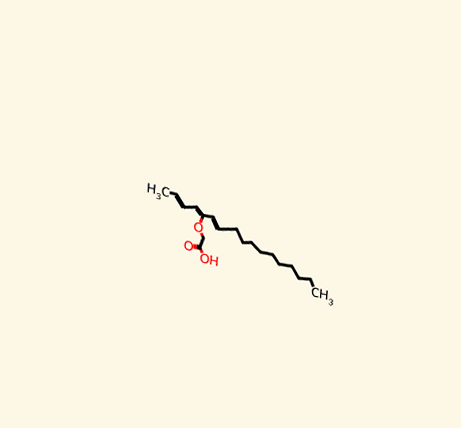 CC=CC=C(C=CCCCCCCCCCC)OCC(=O)O